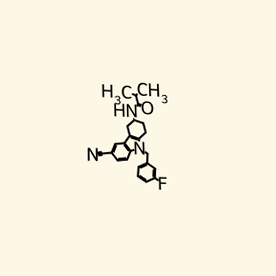 CC(C)C(=O)N[C@@H]1CCc2c(c3cc(C#N)ccc3n2Cc2cccc(F)c2)C1